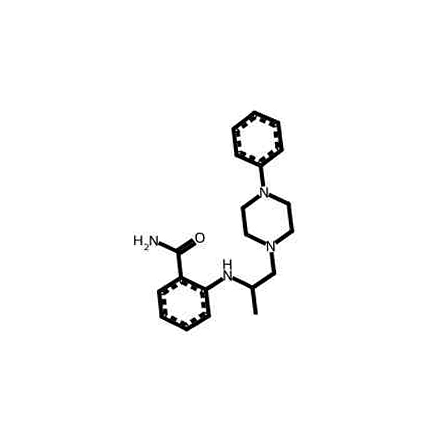 CC(CN1CCN(c2ccccc2)CC1)Nc1ccccc1C(N)=O